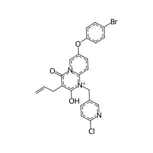 C=CCc1c(O)[n+](Cc2ccc(Cl)nc2)c2ccc(Oc3ccc(Br)cc3)cn2c1=O